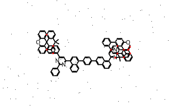 CC1(C)c2ccccc2C2(c3ccccc3Oc3ccc(-c4ccccc4-c4cc(-c5cccc6cc(-c7ccc(-c8ccc(-c9cc(-c%10cccc(-c%11cccc%12c%11C%11(c%13ccccc%13O%12)c%12ccccc%12C(C)(C)c%12ccccc%12%11)c%10)nc(-c%10ccccc%10)n9)c9ccccc89)cc7)ccc56)nc(-c5ccccc5)n4)cc32)c2ccccc21